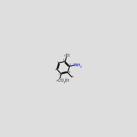 CCOC(=O)c1ccc(CC)c(N)c1C